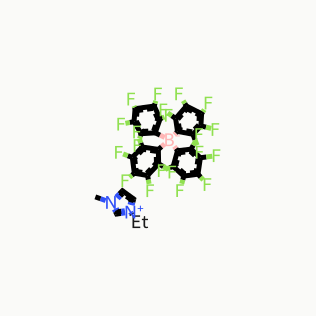 CC[n+]1ccn(C)c1.Fc1c(F)c(F)c([B-](c2c(F)c(F)c(F)c(F)c2F)(c2c(F)c(F)c(F)c(F)c2F)c2c(F)c(F)c(F)c(F)c2F)c(F)c1F